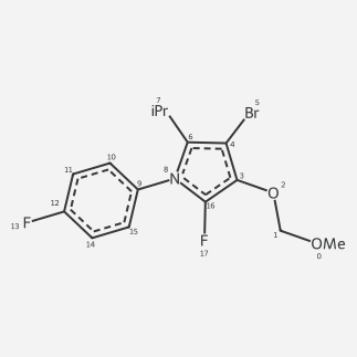 COCOc1c(Br)c(C(C)C)n(-c2ccc(F)cc2)c1F